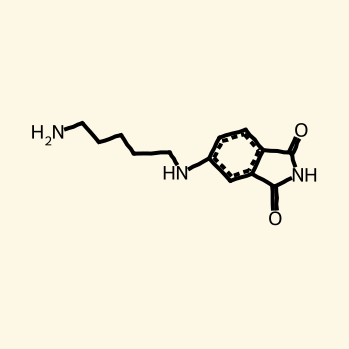 NCCCCCNc1ccc2c(c1)C(=O)NC2=O